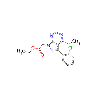 CCOC(=O)Cn1cc(-c2ccccc2Cl)c2c(CC)ncnc21